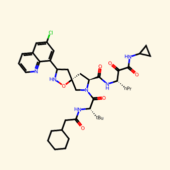 CCC[C@H](NC(=O)[C@@H]1C[C@]2(CC(c3cc(Cl)cc4cccnc34)NO2)CN1C(=O)[C@@H](NC(=O)CC1CCCCC1)C(C)(C)C)C(=O)C(=O)NC1CC1